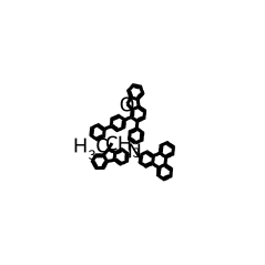 CC1(C)c2ccccc2-c2ccc(N(c3ccc(-c4ccc5c(oc6ccccc65)c4-c4ccc(-c5ccccc5)cc4)cc3)c3ccc4c5ccccc5c5ccccc5c4c3)cc21